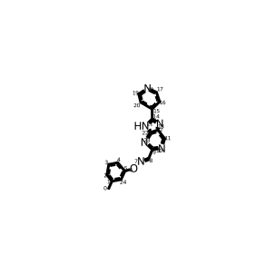 Cc1cccc(ON=Cc2ncc3nc(-c4ccncc4)[nH]c3n2)c1